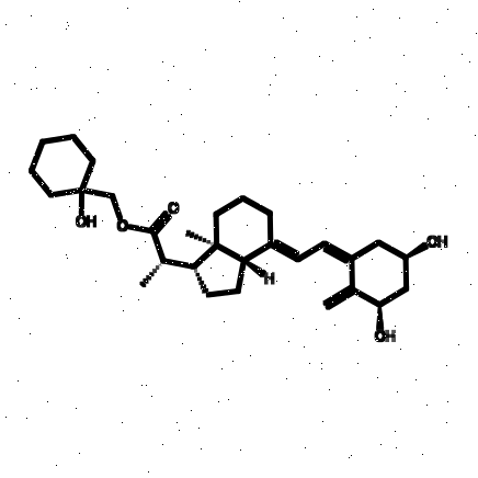 C=C1/C(=C\C=C2/CCC[C@]3(C)[C@@H]([C@H](C)C(=O)OCC4(O)CCCCC4)CC[C@@H]23)C[C@@H](O)C[C@H]1O